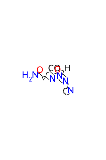 CN1CC2(CC(C(=O)O)C1C(=O)N1CCN(Cc3ccccn3)CC1)CC2C(N)=O